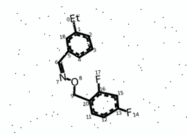 CCc1cccc(/[C]=N\OCc2ccc(F)cc2F)c1